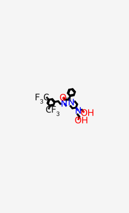 CN(CCc1cc(C(F)(F)F)cc(C(F)(F)F)c1)C(=O)[C@H](c1ccccc1)N1CCC(N(CO)CCO)CC1